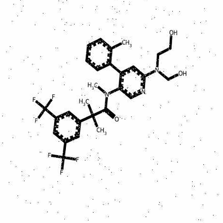 Cc1ccccc1-c1cc(N(CO)CCO)ncc1N(C)C(=O)C(C)(C)c1cc(C(F)(F)F)cc(C(F)(F)F)c1